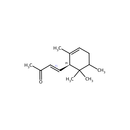 CC(=O)/C=C/[C@H]1C(C)=CCC(C)C1(C)C